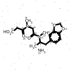 CC(Cc1ccc2c(c1)OCO2)N(C)C(=O)CN(C)C(=O)CC(=O)O.N